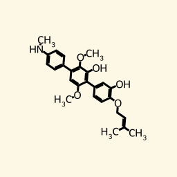 CNc1ccc(-c2cc(OC)c(-c3ccc(OCC=C(C)C)c(O)c3)c(O)c2OC)cc1